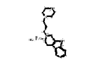 Cl.Cl.Cl.c1ccc2c3c([nH]c2c1)CN(CCCN1CCNCC1)CC3